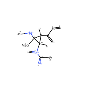 C=CC(=C)C1(C)C(NC(C)C)(OC)C1(C)[N+](=C)C(=N)C(C)C